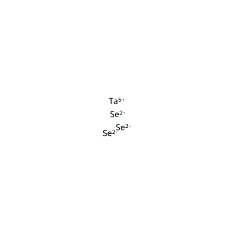 [Se-2].[Se-2].[Se-2].[Ta+5]